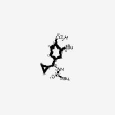 CC(C)(C)c1cc([C@H](N[S+]([O-])C(C)(C)C)C2CC2)ccc1C(=O)O